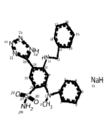 CN(c1ccccc1)c1cc(NCc2ccccc2)c(-c2nnn[nH]2)cc1S(N)(=O)=O.[NaH]